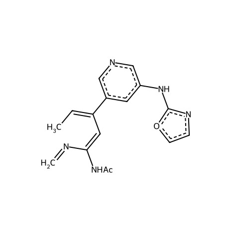 C=N/C(=C\C(=C/C)c1cncc(Nc2ncco2)c1)NC(C)=O